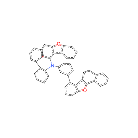 c1ccc(-c2ccccc2N(c2cccc(-c3cccc4oc5c6ccccc6ccc5c34)c2)c2cccc3oc4ccccc4c23)cc1